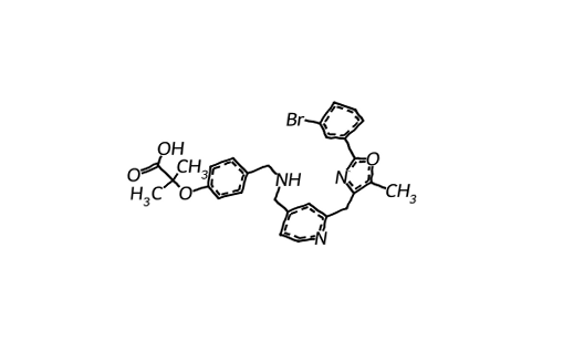 Cc1oc(-c2cccc(Br)c2)nc1Cc1cc(CNCc2ccc(OC(C)(C)C(=O)O)cc2)ccn1